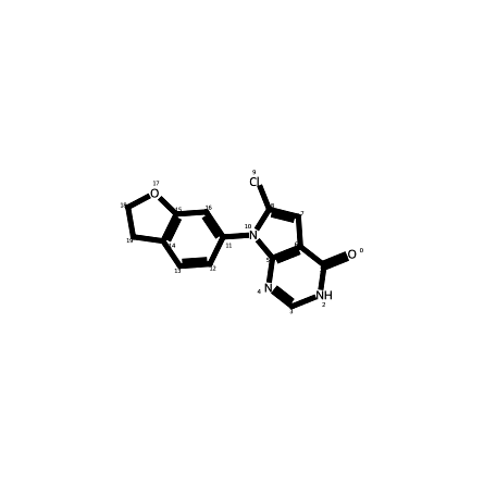 O=c1[nH]cnc2c1cc(Cl)n2-c1ccc2c(c1)OCC2